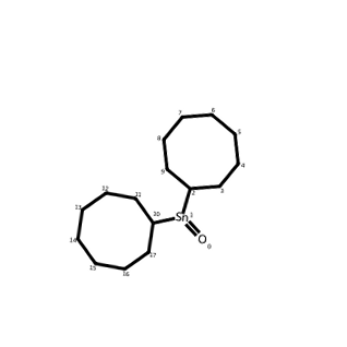 [O]=[Sn]([CH]1CCCCCCC1)[CH]1CCCCCCC1